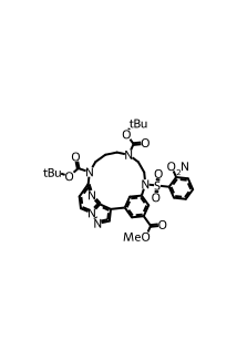 COC(=O)c1cc2cc(c1)N(S(=O)(=O)c1ccccc1[N+](=O)[O-])CCN(C(=O)OC(C)(C)C)CCCN(C(=O)OC(C)(C)C)c1ccn3ncc-2c3n1